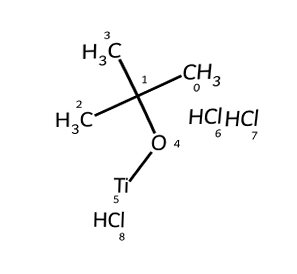 CC(C)(C)[O][Ti].Cl.Cl.Cl